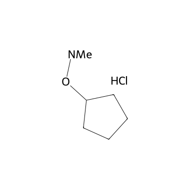 CNOC1CCCC1.Cl